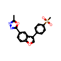 Cc1nnc(-c2ccc3occ(-c4ccc(S(C)(=O)=O)cc4)c3c2)o1